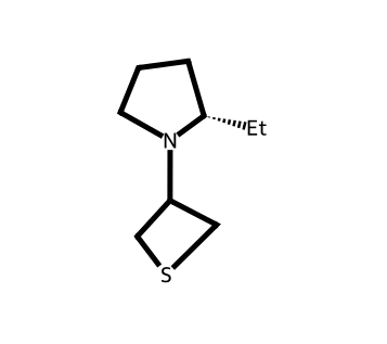 CC[C@H]1CCCN1C1CSC1